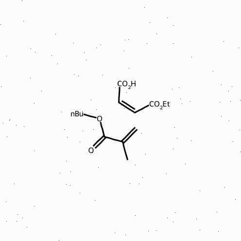 C=C(C)C(=O)OCCCC.CCOC(=O)/C=C\C(=O)O